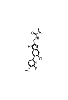 COc1ccc(-c2cc3[nH]c(CNC(=O)N(C)C)cc3cc2Cl)nc1F